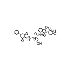 O=C1CCC(N2C(=O)c3cccc(NC(=O)[C@@H]4C[C@H](O)CN4CCNC=C4C(=O)CC(c5ccccc5)CC4=O)c3C2=O)C(=O)N1